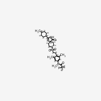 Cc1cc(N(C)C(=O)C(F)(F)F)cc(C)c1CCS(=O)(=O)N1CCC2(CC1)N=C(C1CCC(C)CC1)NC2=O